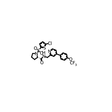 O=C(NCc1cc(-c2ccc(OC(F)(F)F)cc2)ccn1)[C@@H]1CCCN1S(=O)(=O)c1ccc(Cl)s1